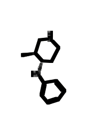 C[C@H]1CNCC[C@@H]1Nc1ccccc1